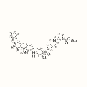 CCc1cc(Nc2nccn3c(-c4ccc(Oc5ncccn5)c(F)c4F)cnc23)ccc1C(=O)NCC1CCN(CC2CCN(C(=O)OC(C)(C)C)C2)CC1